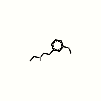 CCNCCc1cccc(OC)c1